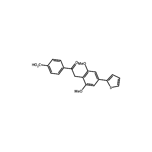 COc1cc(-c2cccs2)cc(OC)c1CC(=O)c1ccc(C(=O)O)cc1